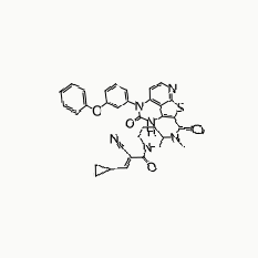 CN(C(=O)c1sc2nccc3c2c1NC(=O)N3c1cccc(Oc2ccccc2)c1)C1CCCN(C(=O)/C(C#N)=C/C2CC2)C1